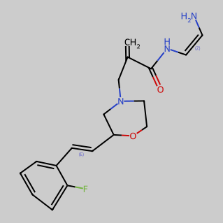 C=C(CN1CCOC(/C=C/c2ccccc2F)C1)C(=O)N/C=C\N